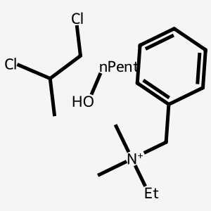 CC(Cl)CCl.CCCCCO.CC[N+](C)(C)Cc1ccccc1